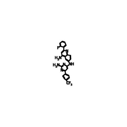 Nc1nc(Nc2ccc3nc(-c4ccccc4F)cc(N)c3c2)cc(-c2ccc(C(F)(F)F)cc2)n1